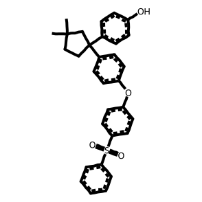 CC1(C)CCC(c2ccc(O)cc2)(c2ccc(Oc3ccc(S(=O)(=O)c4ccccc4)cc3)cc2)C1